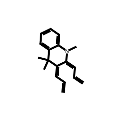 C=C/C=C1\C(=C/C=C)N(C)c2ccccc2C1(C)C